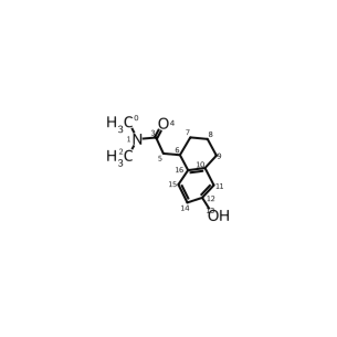 CN(C)C(=O)CC1CCCc2cc(O)ccc21